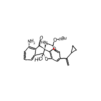 C=C(c1ccc2c(c1)O[C@]1(O)c3cccc(N)c3C(=O)[C@]21NC(=O)OCCCC)C1CC1